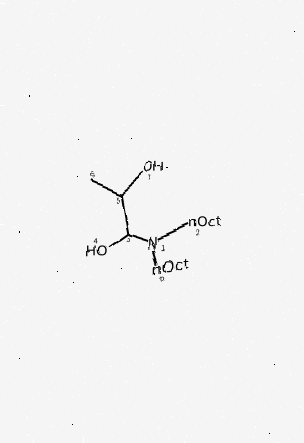 CCCCCCCCN(CCCCCCCC)C(O)C(C)O